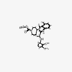 C[C@H](Nc1ncnc(N)c1C#N)c1nc2cccc(Cl)c2c(=O)n1C1CCCN(C(=O)OC(C)(C)C)CC1